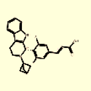 O=C(O)/C=C/c1cc(F)c([C@H]2c3[nH]c4ccccc4c3CCN2C23CC(C2)C3)c(F)c1